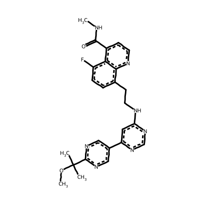 CNC(=O)c1ccnc2c(CCNc3cc(-c4cnc(C(C)(C)OC)nc4)ncn3)ccc(F)c12